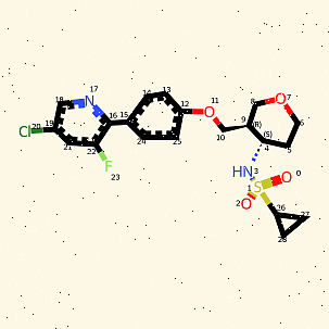 O=S(=O)(N[C@H]1CCOC[C@@H]1COc1ccc(-c2ncc(Cl)cc2F)cc1)C1CC1